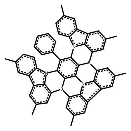 Cc1ccc2c(c1)c1cc(C)cc3c1n2-c1c2c4c5c(c1-c1ccccc1)-n1c6ccc(C)cc6c6cc(C)cc(c61)B5c1cc(C)cc5c6cc(C)cc(c6n-4c15)B23